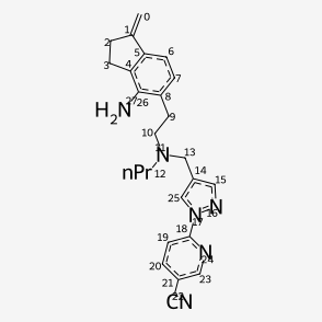 C=C1CCc2c1ccc(CCN(CCC)Cc1cnn(-c3ccc(C#N)cn3)c1)c2N